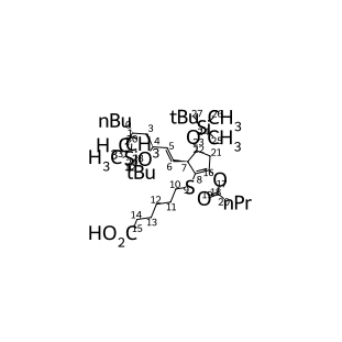 CCCC[C@@H](C)C[C@@H](/C=C/[C@@H]1C(SCCCCCC(=O)O)=C(OC(=O)CCC)C[C@H]1O[Si](C)(C)C(C)(C)C)O[Si](C)(C)C(C)(C)C